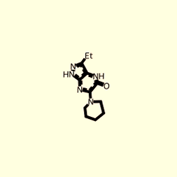 CCc1n[nH]c2nc(N3CCCCC3)c(=O)[nH]c12